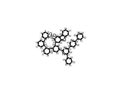 O=S1(=O)c2ccccc2-c2ccccc2-c2ccccc2-c2ccc(-c3nc(-c4ccccc4)cc(-c4ccc(-c5cccnc5)nc4)n3)cc2-c2cc3oc4ccccc4c3cc21